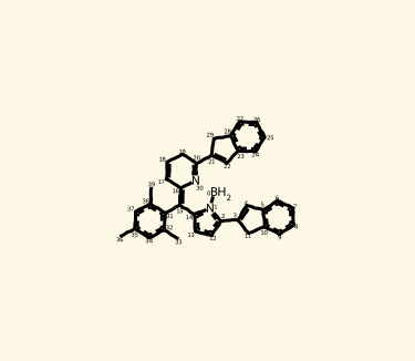 Bn1c(C2=Cc3ccccc3C2)ccc1/C(=C1/C=CCC(C2=Cc3ccccc3C2)=N1)c1c(C)cc(C)cc1C